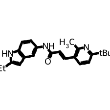 CCc1cc2cc(NC(=O)/C=C/c3ccc(C(C)(C)C)nc3C)ccc2[nH]1